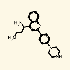 NCCC(N)c1cc(-c2ccc(N3CCNCC3)cc2)nc2ccccc12